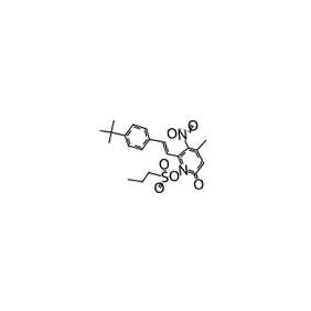 CCCS(=O)(=O)On1c(C=Cc2ccc(C(C)(C)C)cc2)c([N+](=O)[O-])c(C)cc1=O